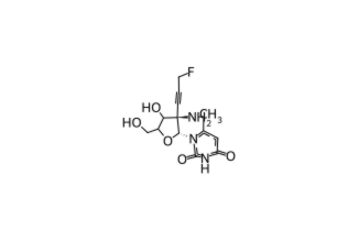 Cc1cc(=O)[nH]c(=O)n1[C@@H]1OC(CO)C(O)[C@]1(N)C#CCF